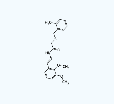 COc1cccc(/C=N/NC(=O)CSCc2ccccc2C)c1OC